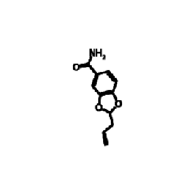 C=CCC1Oc2ccc(C(N)=O)cc2O1